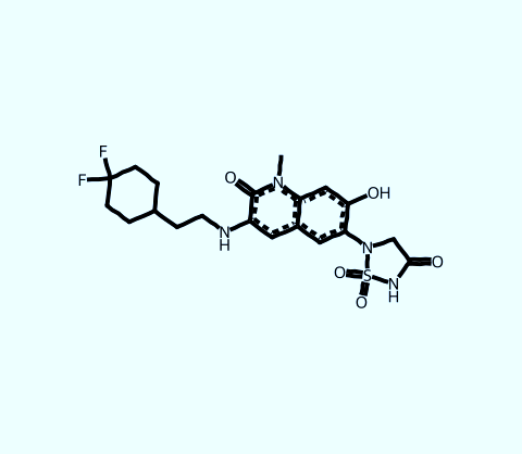 Cn1c(=O)c(NCCC2CCC(F)(F)CC2)cc2cc(N3CC(=O)NS3(=O)=O)c(O)cc21